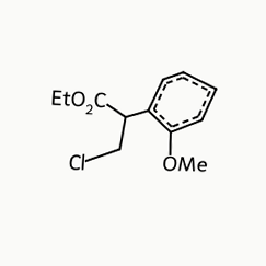 CCOC(=O)C(CCl)c1ccccc1OC